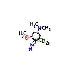 COc1cc(N(C)C)ccc1[N+]#N.Cl.[Cl-].[Zn]